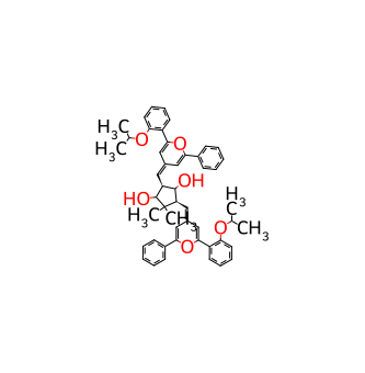 CC(C)Oc1ccccc1C1=C/C(=C/[C@H]2C(O)[C@@H](/C=C3\C=C(c4ccccc4)OC(c4ccccc4OC(C)C)=C3)C(C)(C)C2O)C=C(c2ccccc2)O1